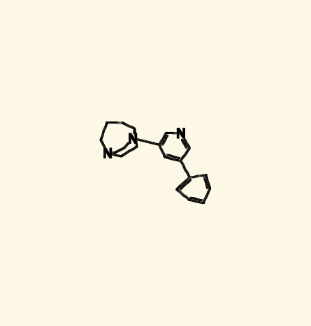 c1ccc(-c2cncc(N3CCN4CCCC3CC4)c2)cc1